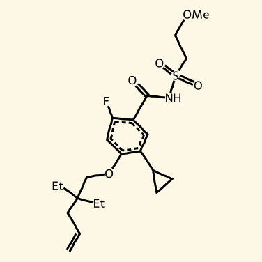 C=CCC(CC)(CC)COc1cc(F)c(C(=O)NS(=O)(=O)CCOC)cc1C1CC1